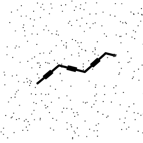 CC#CCC#CCC#CCBr